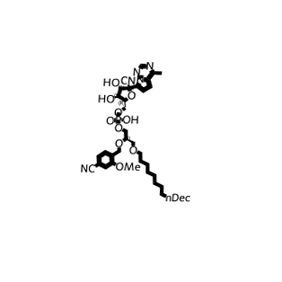 CCCCCCCCCCCCCCCCCCOC[C@H](COP(=O)(O)OC[C@H]1O[C@@](C#N)(c2ccc3c(C)ncnn23)[C@H](O)[C@@H]1O)OCc1ccc(C#N)cc1OC